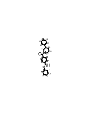 O=C(c1ccc(NCc2ccccc2)cc1)N1CCCC(c2ccccc2)C1